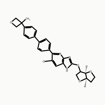 CC1(c2ccc(-c3ccc(-c4nc5nc(OC6CO[C@@H]7CCO[C@H]67)[nH]c5cc4Cl)cc3)cc2)COC1